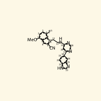 COc1ccc(F)c2c1cc(C#N)n2CCNc1cc(-c2ccc3[nH]cnc3c2)ncn1